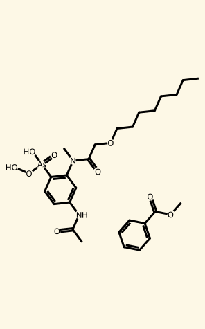 CCCCCCCCOCC(=O)N(C)c1cc(NC(C)=O)ccc1[As](=O)(O)OO.COC(=O)c1ccccc1